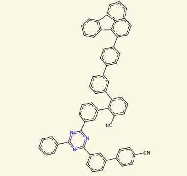 N#Cc1ccc(-c2cccc(-c3nc(-c4ccccc4)nc(-c4cccc(-c5c(C#N)cccc5-c5cccc(-c6ccc(-c7ccc8cccc9c8c7-c7ccccc7-9)cc6)c5)c4)n3)c2)cc1